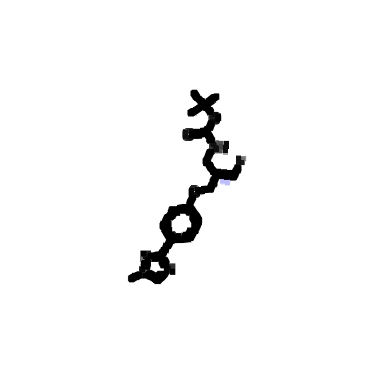 Cn1cnc(-c2ccc(OC/C(=C/F)CNC(=O)OC(C)(C)C)cc2)n1